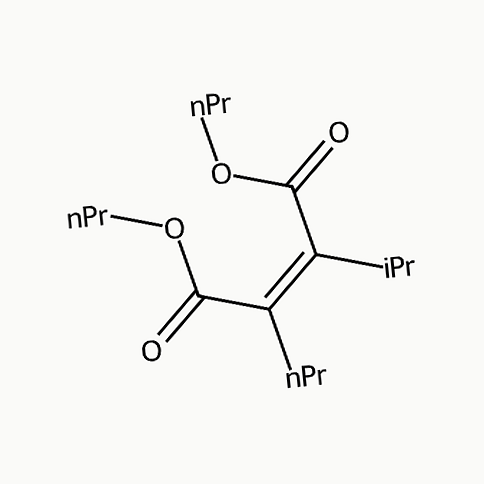 CCCOC(=O)C(CCC)=C(C(=O)OCCC)C(C)C